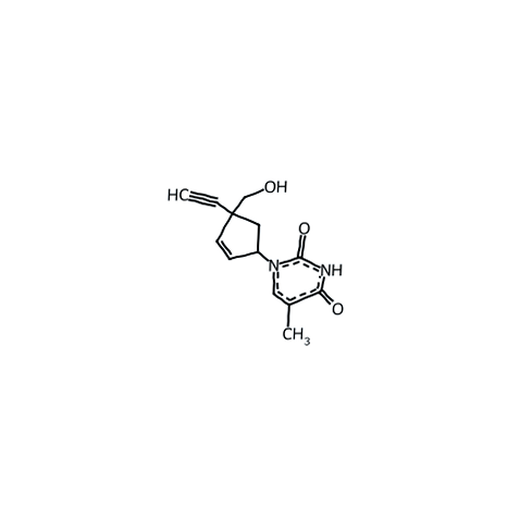 C#CC1(CO)C=CC(n2cc(C)c(=O)[nH]c2=O)C1